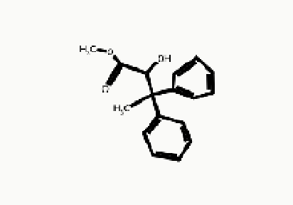 COC(=O)C(O)C(C)(c1ccccc1)c1ccccc1